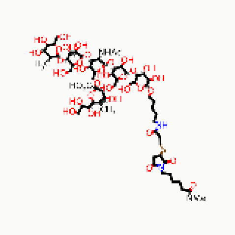 CNC(=O)CCCCCN1C(=O)CC(SCCC(=O)NCCCCCO[C@@H]2OC(CO)[C@@H](O[C@@H]3OC(CO)[C@H](O)[C@H](O[C@@H]4OC(CO[C@]5(C(=O)O)C[C@@H](O)[C@@H](C)C([C@H](O)[C@H](O)CO)O5)[C@@H](O)[C@H](O[C@@H]5OC(CO)[C@H](O[C@@H]6OC(CO)[C@H](O)[C@H](O)C6C)[C@H](O)C5O)C4NC(C)=O)C3O)[C@H](O)C2O)C1=O